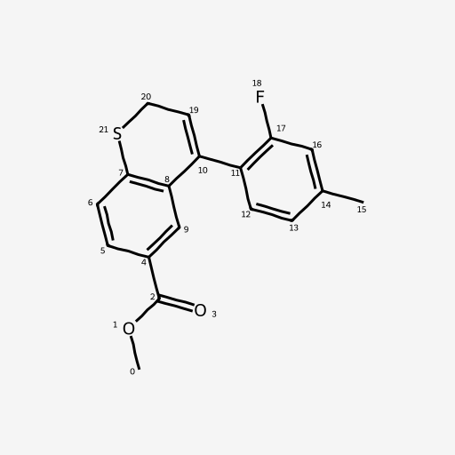 COC(=O)c1ccc2c(c1)C(c1ccc(C)cc1F)=CCS2